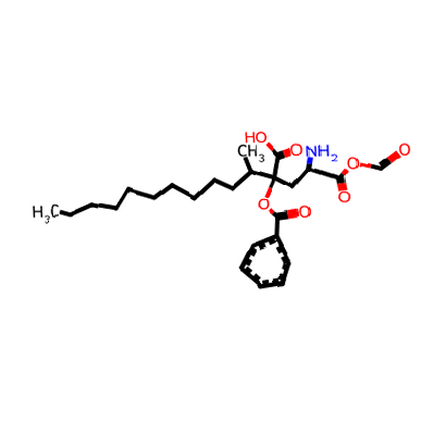 CCCCCCCCCCC(C)C(CC(N)C(=O)OC=O)(OC(=O)c1ccccc1)C(=O)O